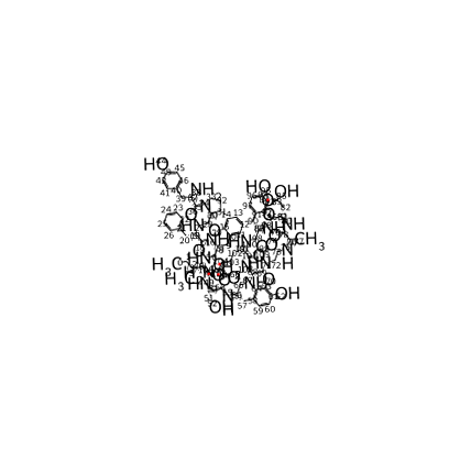 CC[C@H](C)[C@H](NC(=O)[C@H](Cc1ccccc1)NC(=O)[C@H](Cc1ccccc1)NC(=O)[C@@H]1CCCN1C(=O)[C@@H](N)Cc1ccc(O)cc1)C(=O)N[C@@H](CO)C(=O)N[C@@H](Cc1ccc(O)cc1)C(=O)NCC(=O)NCC(=O)N[C@@H](C)C(=O)N[C@@H](CC(=O)O)C(=O)N[C@@H](Cc1ccc(O)cc1)C(=O)N[C@@H](CCCCN)C(N)=O